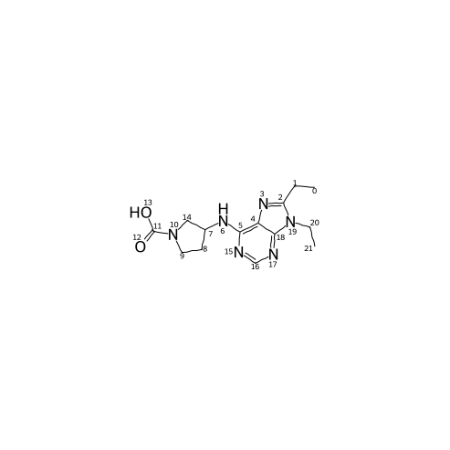 CCc1nc2c(NC3CCN(C(=O)O)C3)ncnc2n1CC